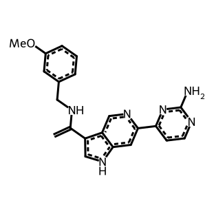 C=C(NCc1cccc(OC)c1)c1c[nH]c2cc(-c3ccnc(N)n3)ncc12